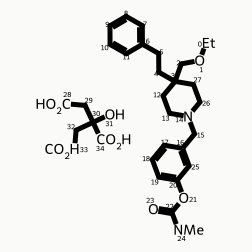 CCOCC1(CCc2ccccc2)CCN(Cc2cccc(OC(=O)NC)c2)CC1.O=C(O)CC(O)(CC(=O)O)C(=O)O